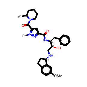 CCCC1CCCCN1C(=O)c1cc(C(=O)N[C@@H](Cc2ccccc2)[C@@H](O)CN[C@@H]2CCc3ccc(OC)cc32)nn1CC